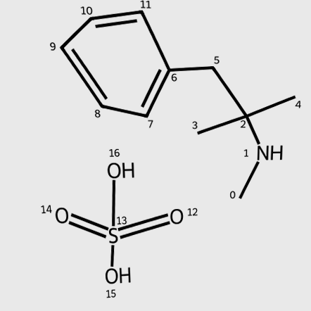 CNC(C)(C)Cc1ccccc1.O=S(=O)(O)O